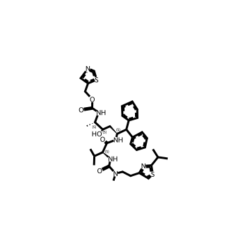 CC(C)c1nc(CCN(C)C(=O)N[C@H](C(=O)N[C@@H](C[C@H](O)[C@H](C)NC(=O)OCc2cncs2)C(c2ccccc2)c2ccccc2)C(C)C)cs1